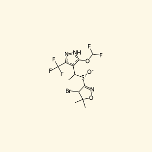 CC(c1c(C(F)(F)F)n[nH]c1OC(F)F)[S+]([O-])C1=NOC(C)(C)C1Br